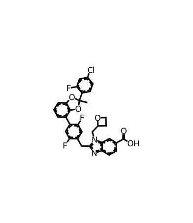 CC1(c2ccc(Cl)cc2F)Oc2cccc(-c3cc(F)c(Cc4nc5ccc(C(=O)O)cc5n4CC4CCO4)cc3F)c2O1